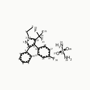 CCn1nc(-c2ccccc2)c(-c2ccc(F)cc2)c1C(F)(F)F.NS(N)(=O)=O